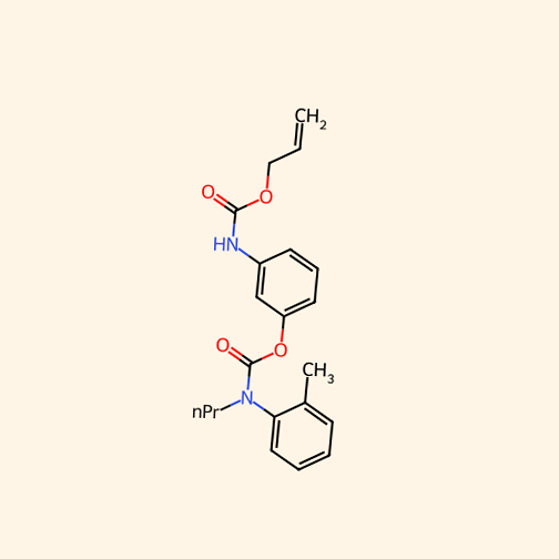 C=CCOC(=O)Nc1cccc(OC(=O)N(CCC)c2ccccc2C)c1